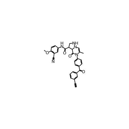 C#Cc1cccc(C(=O)c2ccc(N3C(=O)C4C(C(=O)Nc5ccc(OC)c(C#N)c5)CNN4C=C3C)cc2)c1